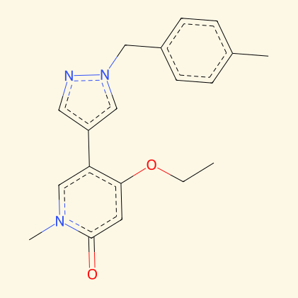 CCOc1cc(=O)n(C)cc1-c1cnn(Cc2ccc(C)cc2)c1